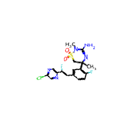 CN1C(N)=NC(C)(c2cc(C=C(F)c3cnc(Cl)cn3)ccc2F)CS1(=O)=O